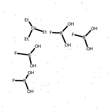 CC[O+](CC)CC.OB(O)F.OB(O)F.OB(O)F.OB(O)F